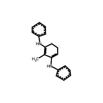 CC1=C(Nc2ccccc2)[CH]CC=C1Nc1ccccc1